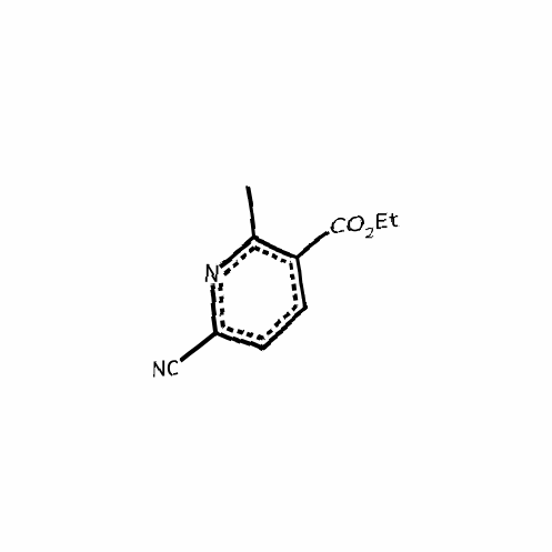 CCOC(=O)c1ccc(C#N)nc1C